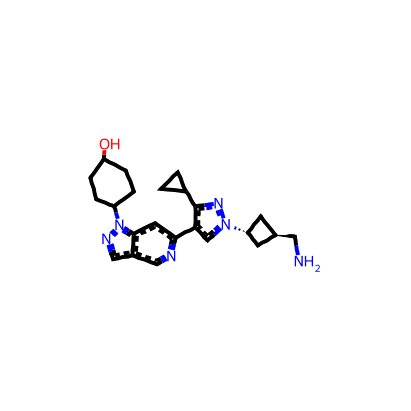 NC[C@H]1C[C@H](n2cc(-c3cc4c(cn3)cnn4C3CCC(O)CC3)c(C3CC3)n2)C1